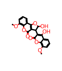 COc1cccc2c(O)c(C3c4c(c5cccc(OC)c5oc4=O)OC3O)c(=O)oc12